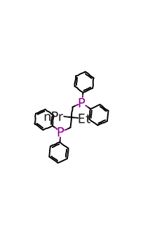 CCCC(CC)(CP(c1ccccc1)c1ccccc1)CP(c1ccccc1)c1ccccc1